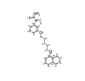 NC(=S)N1CCc2c(OCCCCCOc3cccc4ccccc34)cccc21